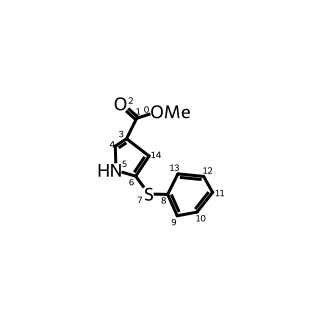 COC(=O)c1c[nH]c(Sc2ccccc2)c1